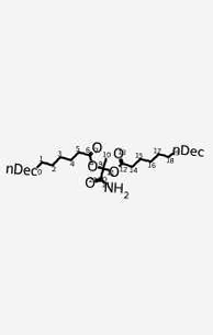 CCCCCCCCCCCCCCCC(=O)OC(C)(OC(=O)CCCCCCCCCCCCCCC)C(N)=O